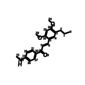 CCCc1cc(C=CC(=O)c2ccc(NC)cc2)c(OC)cc1OC